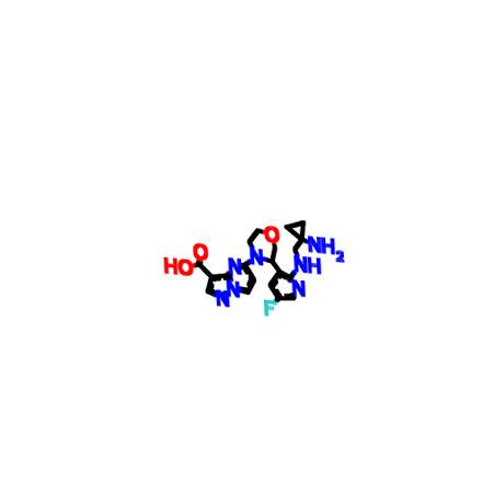 NC1(CNc2ncc(F)cc2C2COCCN2c2ccn3ncc(C(=O)O)c3n2)CC1